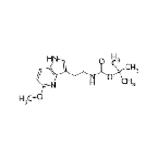 COc1ccc2[nH]cc(CCNC(=O)OC(C)(C)C)c2n1